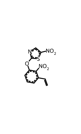 C=Cc1cccc(Oc2ncc([N+](=O)[O-])s2)c1[N+](=O)[O-]